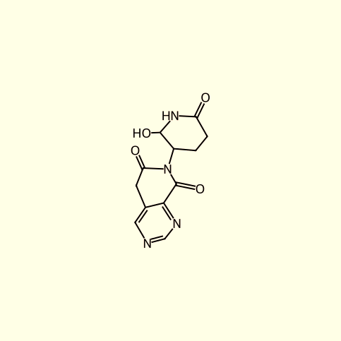 O=C1CCC(N2C(=O)Cc3cncnc3C2=O)C(O)N1